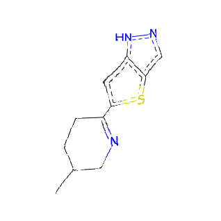 CC1CCC(c2cc3[nH]ncc3s2)=NC1